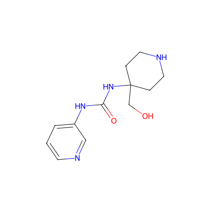 O=C(Nc1cccnc1)NC1(CO)CCNCC1